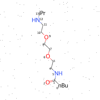 CCCCC(=O)NCCOCCOCCNC(C)C